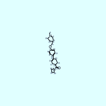 CN1CCC(COc2ccc(C3=CCC(C(=O)N4CCC4)CC3)cc2)CC1